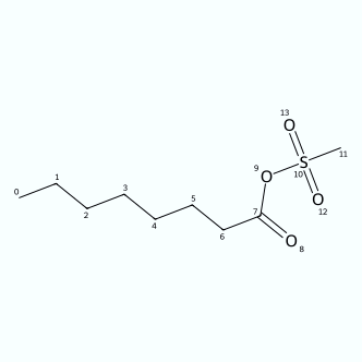 CCCCCCCC(=O)OS(C)(=O)=O